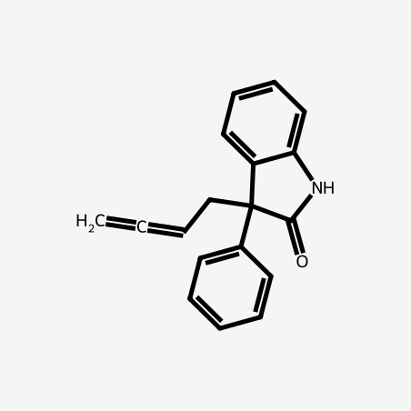 C=C=CCC1(c2ccccc2)C(=O)Nc2ccccc21